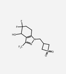 O=S1(=O)CC(Cn2nc(C(F)(F)F)c3c2CCC(F)(F)C3O)C1